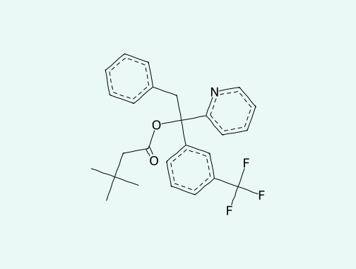 CC(C)(C)CC(=O)OC(Cc1ccccc1)(c1cccc(C(F)(F)F)c1)c1ccccn1